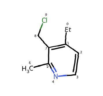 CCc1ccnc(C)c1CCl